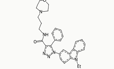 CCn1c2ccccc2c2cc(-n3nnc(C(=O)NCCCN4CCOCC4)c3-c3ccccc3)ccc21